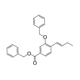 CCC=Cc1ccc(C(=O)OCc2ccccc2)cc1OCc1ccccc1